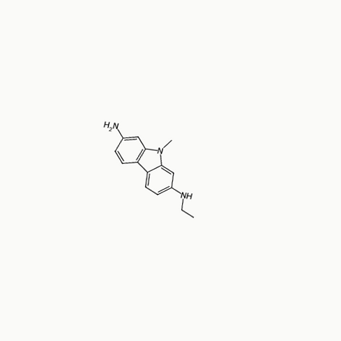 CCNc1ccc2c3ccc(N)cc3n(C)c2c1